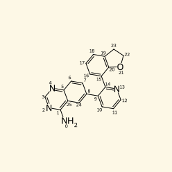 Nc1ncnc2ccc(-c3cccnc3-c3cccc4c3OCC4)cc12